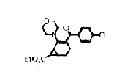 CCOC(=O)C1C2CCC(C(=O)c3ccc(Cl)cc3)=C(N3CCOCC3)C21